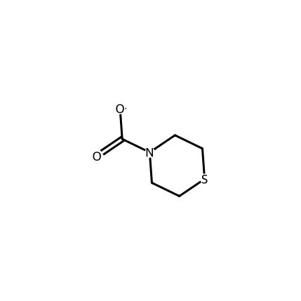 [O]C(=O)N1CCSCC1